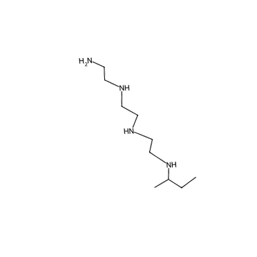 CCC(C)NCCNCCNCCN